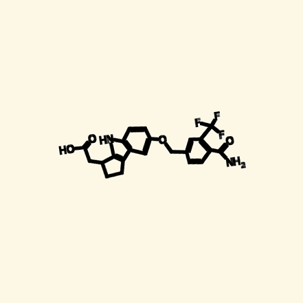 NC(=O)c1ccc(COc2ccc3[nH]c4c(c3c2)CCC4CC(=O)O)cc1C(F)(F)F